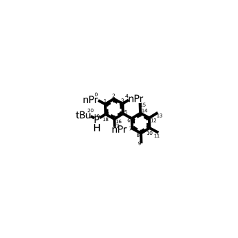 CCCc1cc(CCC)c(-c2cc(C)c(C)c(C)c2C)c(CCC)c1PC(C)(C)C